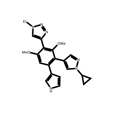 CCn1cc(-c2c(OC)cc(-c3cc[nH]c3)c(-c3cnn(C4CC4)c3)c2OC)nn1